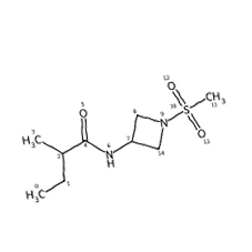 CCC(C)C(=O)NC1CN(S(C)(=O)=O)C1